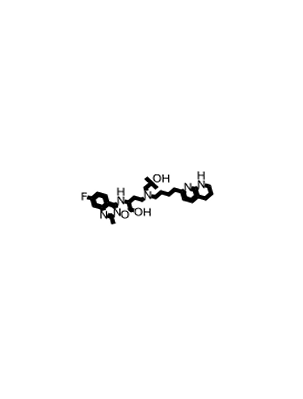 Cc1nc(NC(CCN(CCCCc2ccc3c(n2)NCCC3)CC(C)(C)O)C(=O)O)c2ccc(F)cc2n1